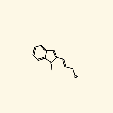 Cn1c(/C=C/CO)cc2ccccc21